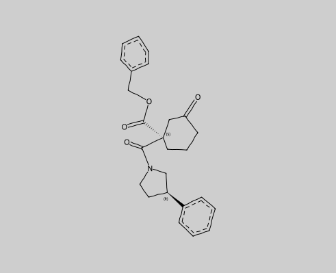 O=C1CCC[C@@](C(=O)OCc2ccccc2)(C(=O)N2CC[C@H](c3ccccc3)C2)C1